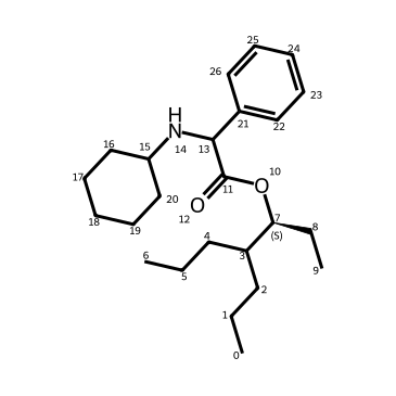 CCCC(CCC)[C@H](CC)OC(=O)C(NC1CCCCC1)c1ccccc1